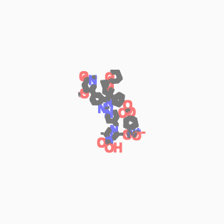 COc1cc(=O)n(C)cc1-c1ccc2nc(N3CCC(CN4C[C@@H](C)N(C(=O)O)C[C@@H]4C)CC3)nc(C(COC3CCCCO3)(CC3CC3)c3ccc(OC(=O)Oc4ccc([N+](=O)[O-])cc4)cc3)c2c1